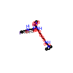 COC(=O)C(CCCCNC(=O)CCCc1ccc(I)cc1)NC(=O)C(CCC(=O)ON1C(=O)CCC1=O)NC(=O)CCOCCOCCOCCOCCNC(=O)CCC(=O)N1Cc2ccccc2C#Cc2ccccc21